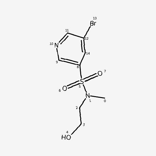 CN(CCO)S(=O)(=O)c1cncc(Br)c1